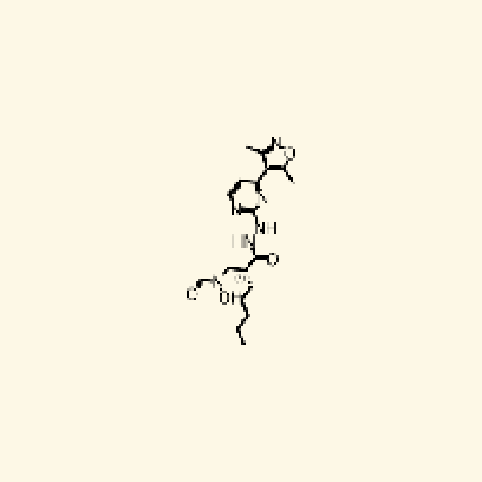 CCCCC[C@H](CN(O)C=O)C(=O)NNc1nccc(-c2c(C)noc2C)n1